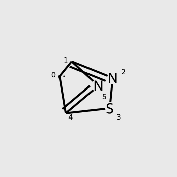 [CH]1c2nsc1n2